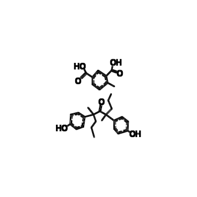 CCCC(C)(C(=O)C(C)(CCC)c1ccc(O)cc1)c1ccc(O)cc1.Cc1ccc(C(=O)O)cc1C(=O)O